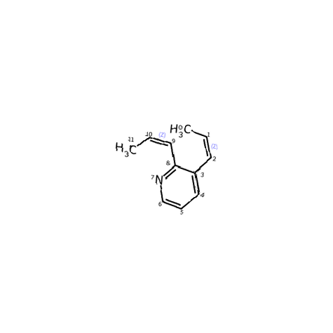 C/C=C\c1cccnc1/C=C\C